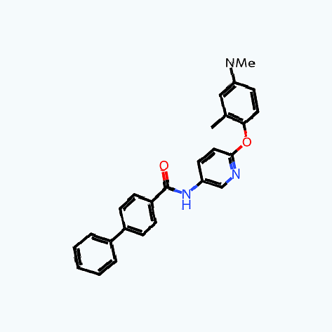 CNc1ccc(Oc2ccc(NC(=O)c3ccc(-c4ccccc4)cc3)cn2)c(C)c1